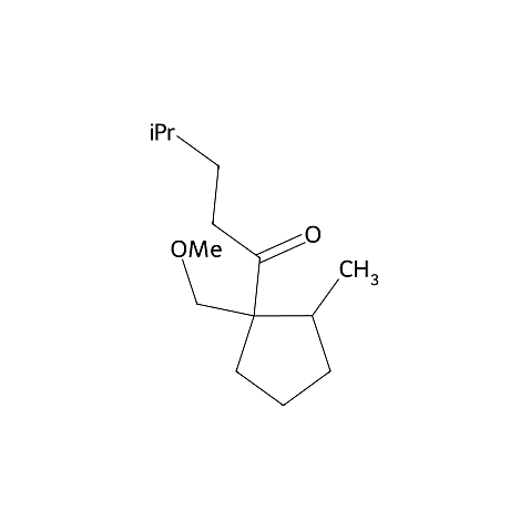 COCC1(C(=O)CCC(C)C)CCCC1C